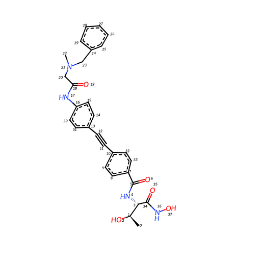 C[C@@H](O)[C@H](NC(=O)c1ccc(C#Cc2ccc(NC(=O)CN(C)Cc3ccccc3)cc2)cc1)C(=O)NO